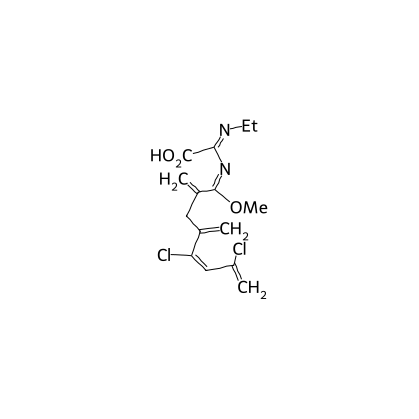 C=C(Cl)/C=C(/Cl)C(=C)CC(=C)/C(=N\C(=N/CC)C(=O)O)OC